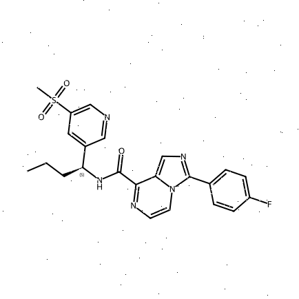 CCC[C@H](NC(=O)c1nccn2c(-c3ccc(F)cc3)ncc12)c1cncc(S(C)(=O)=O)c1